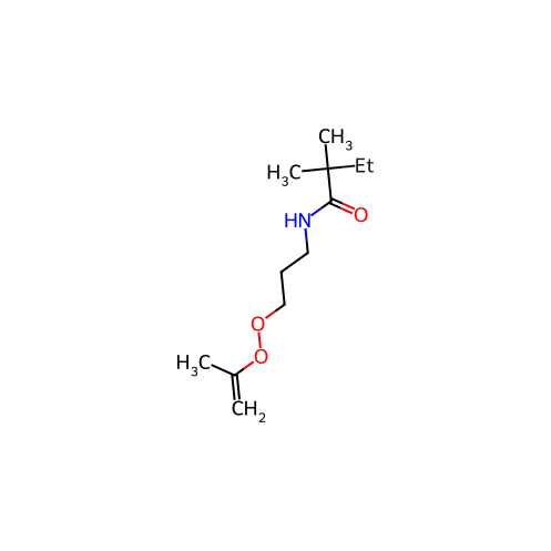 C=C(C)OOCCCNC(=O)C(C)(C)CC